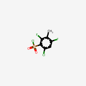 Cc1c(F)cc(Cl)c(S(=O)(=O)Cl)c1F